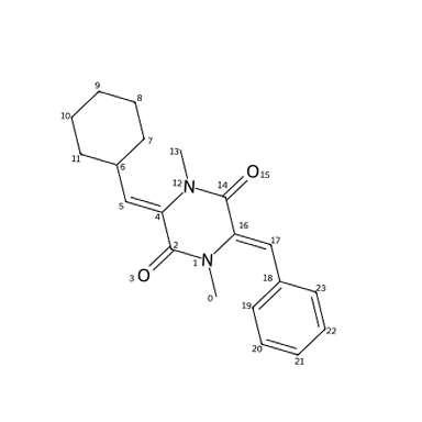 Cn1c(=O)/c(=C/C2CCCCC2)n(C)c(=O)/c1=C/c1ccccc1